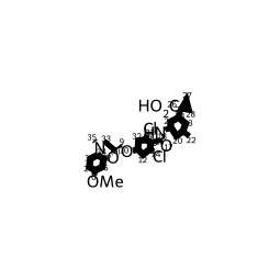 COc1ccc2c(c1)O[C@H](COc1cc(Cl)c(C(=O)Nc3cc(C)cc(C4(C(=O)O)CC4)c3)c(Cl)c1)CN2C